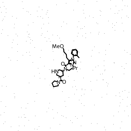 COCCCCc1c(C(=O)N(CC(C)C)[C@@H]2CNC[C@H](C(=O)N3CCCC3)C2)nnn1-c1ccccc1C